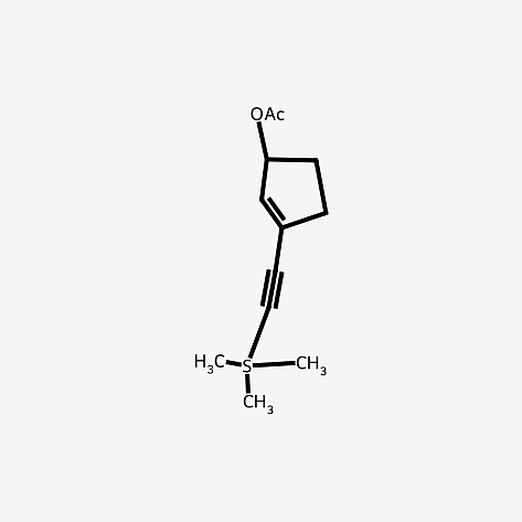 CC(=O)OC1C=C(C#CS(C)(C)C)CC1